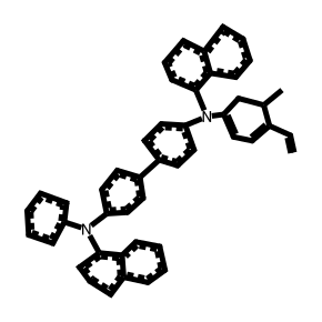 C=CC1=CC=C(N(c2ccc(-c3ccc(N(c4ccccc4)c4cccc5ccccc45)cc3)cc2)c2cccc3ccccc23)CC1C